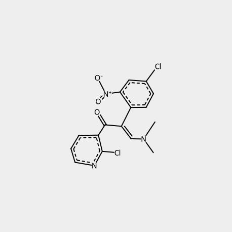 CN(C)C=C(C(=O)c1cccnc1Cl)c1ccc(Cl)cc1[N+](=O)[O-]